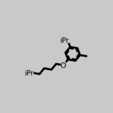 Cc1cc(OCCCCC(C)C)cc(C(C)C)c1